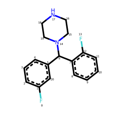 Fc1cccc(C(c2ccccc2F)N2CCNCC2)c1